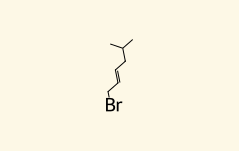 CC(C)CC=CCBr